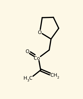 C=[C](C)[Co](=[O])[CH2]C1CCCO1